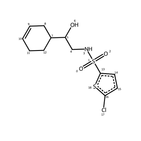 O=S(=O)(NCC(O)C1CC=CCC1)c1ccc(Cl)s1